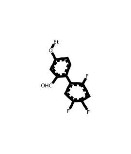 CCOc1ccc(-c2cc(F)c(F)cc2F)c(C=O)c1